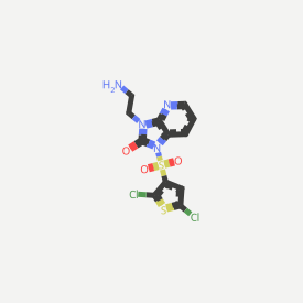 NCCn1c(=O)n(S(=O)(=O)c2cc(Cl)sc2Cl)c2cccnc21